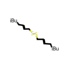 CCC(C)C/C=C/CSSC/C=C/CC(C)CC